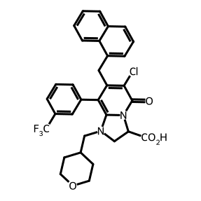 O=C(O)C1CN(CC2CCOCC2)c2c(-c3cccc(C(F)(F)F)c3)c(Cc3cccc4ccccc34)c(Cl)c(=O)n21